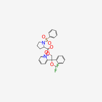 O=C(OCC(OC(F)F)(c1ccccc1)c1cccc[n+]1[O-])C1CCCN1S(=O)(=O)c1ccccc1